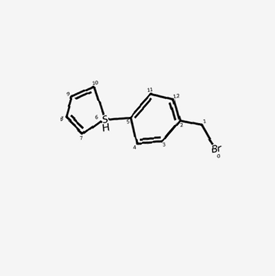 BrCc1ccc([SH]2C=CC=C2)cc1